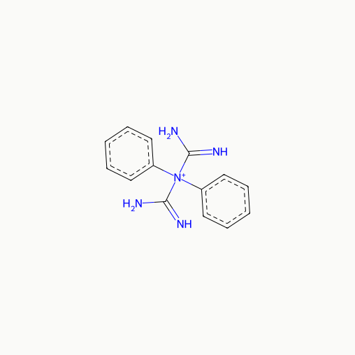 N=C(N)[N+](C(=N)N)(c1ccccc1)c1ccccc1